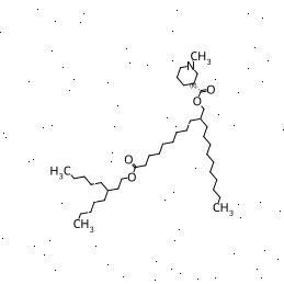 CCCCCCCCCCC(CCCCCCCCC(=O)OCCC(CCCCC)CCCCC)COC(=O)[C@@H]1CCCN(C)C1